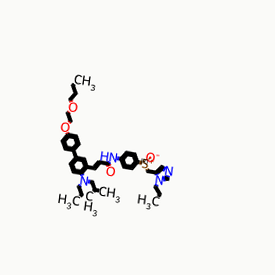 CCCCOCCOc1ccc(-c2ccc(N(CCC)CC(C)C)c(C=CC(=O)Nc3ccc([S@@+]([O-])Cc4cncn4CCC)cc3)c2)cc1